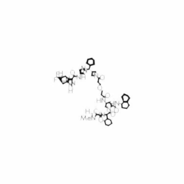 CNC(C)C(=O)NC(C(=O)N1C[C@@H](NC(=O)CCOCCC(=O)N2CC([C@@H](c3ccccc3)n3cc(NC(=O)c4n[nH]c5c4C[C@@H]4C(F)(F)[C@]4(C)C5)cn3)C2)C[C@H]1C(=O)N[C@@H]1CCCc2ccccc21)C1CCCCC1